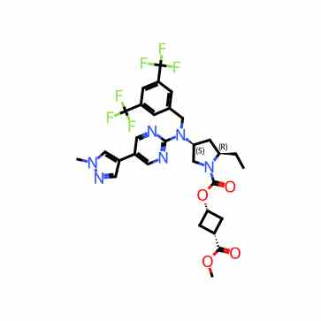 CC[C@@H]1C[C@H](N(Cc2cc(C(F)(F)F)cc(C(F)(F)F)c2)c2ncc(-c3cnn(C)c3)cn2)CN1C(=O)O[C@H]1C[C@@H](C(=O)OC)C1